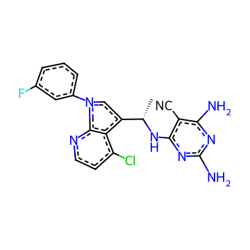 C[C@H](Nc1nc(N)nc(N)c1C#N)c1cn(-c2cccc(F)c2)c2nccc(Cl)c12